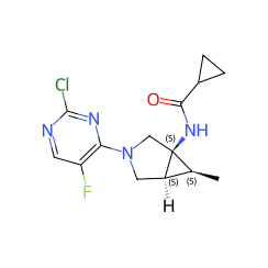 C[C@H]1[C@H]2CN(c3nc(Cl)ncc3F)C[C@@]21NC(=O)C1CC1